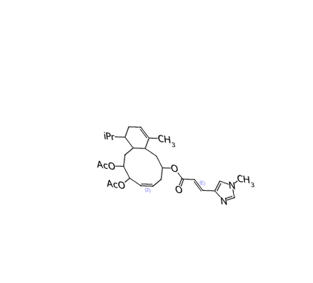 CC(=O)OC1/C=C\CC(OC(=O)/C=C/c2cn(C)cn2)CC2C(C)=CCC(C(C)C)C2CC1OC(C)=O